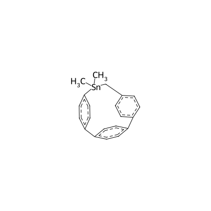 [CH3][Sn]1([CH3])[CH2]c2ccc(cc2)-c2ccc(cc2)-c2cc[c]1cc2